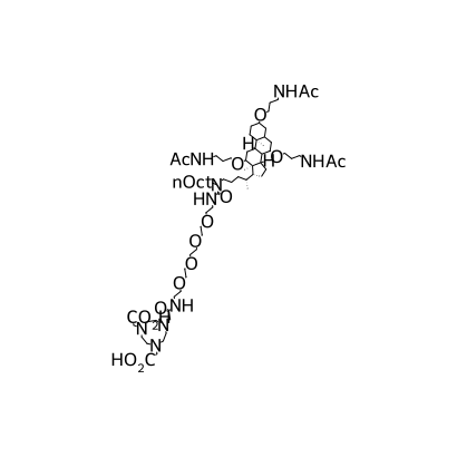 CCCCCCCCN(CCC[C@@H](C)[C@H]1CC[C@H]2C3[C@H](OCCCNC(C)=O)CC4C[C@H](OCCCNC(C)=O)CC[C@]4(C)[C@H]3C[C@H](OCCCNC(C)=O)[C@]12C)C(=O)NCCOCCOCCOCCOCCNC(=O)CN1CCN(CC(=O)O)CCN(CC(=O)O)CC1